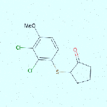 COc1ccc(SC2CCCC2=O)c(Cl)c1Cl